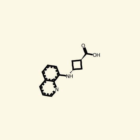 O=C(O)[C@H]1C[C@H](Nc2cccc3cccnc23)C1